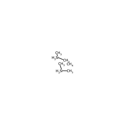 C.C[SiH2]C.C[SiH2]C